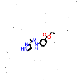 CCOC(=O)c1cccc(NN=C(C)c2cc[nH]n2)c1